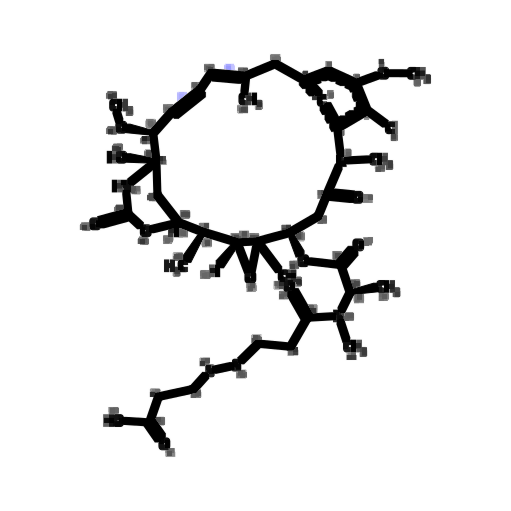 COc1cc2cc(c1Cl)N(C)C(=O)C[C@@H](OC(=O)[C@@H](C)N(C)C(=O)CCSSCCC(=O)O)C1(C)O[C@@H]1[C@@H](C)[C@H]1C[C@](O)(NC(=O)O1)[C@@H](OC)/C=C/C=C(\C)C2